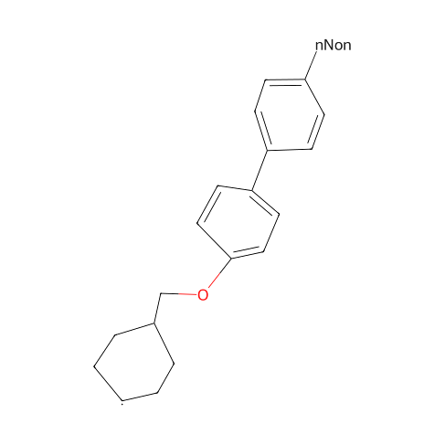 CCCCCCCCCc1ccc(-c2ccc(OCC3CC[CH]CC3)cc2)cc1